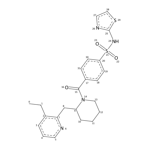 CCc1cccnc1CC1CCCCN1C(=O)c1ccc(S(=O)(=O)Nc2nccs2)cc1